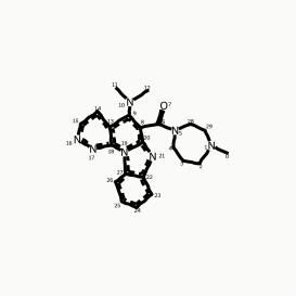 CN1CCCN(C(=O)c2c(N(C)C)c3ccnnc3n3c2nc2ccccc23)CC1